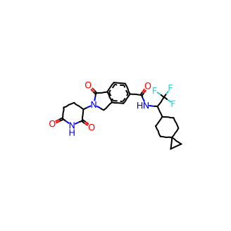 O=C1CCC(N2Cc3cc(C(=O)NC(C4CCC5(CC4)CC5)C(F)(F)F)ccc3C2=O)C(=O)N1